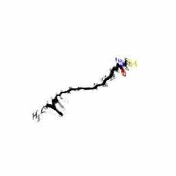 CCCCCCCCCCC#CC#CCCCCCCCCC(=O)NCCS